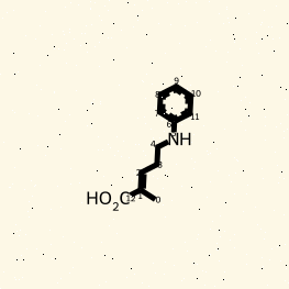 CC(=CCCNc1ccccc1)C(=O)O